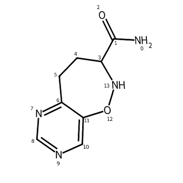 NC(=O)C1CCc2ncncc2ON1